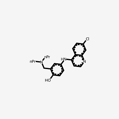 CCCN(CCC)Cc1cc(Nc2ccnc3cc(Cl)ccc23)ccc1O